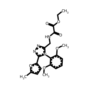 CCOC(=O)C(=O)NCc1nnc(-c2ccc(C)o2)n1-c1c(OC)cccc1OC